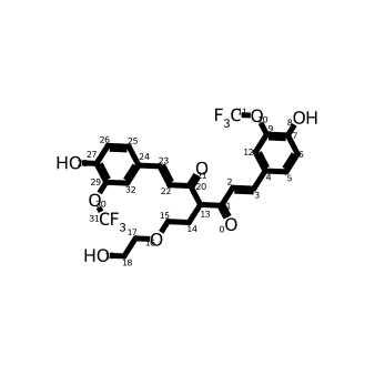 O=C(C=Cc1ccc(O)c(OC(F)(F)F)c1)C(CCOCCO)C(=O)C=Cc1ccc(O)c(OC(F)(F)F)c1